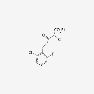 CCOC(=O)C(Cl)C(=O)CCc1c(F)cccc1Cl